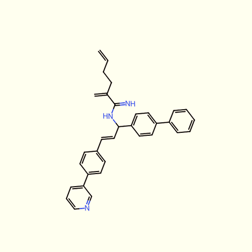 C=CCCC(=C)C(=N)NC(/C=C/c1ccc(-c2cccnc2)cc1)c1ccc(-c2ccccc2)cc1